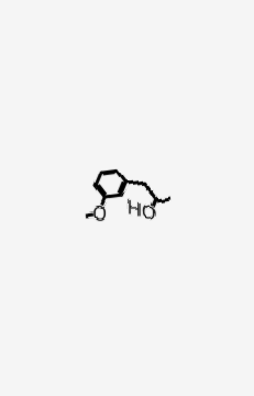 COc1cccc(CC(C)O)c1